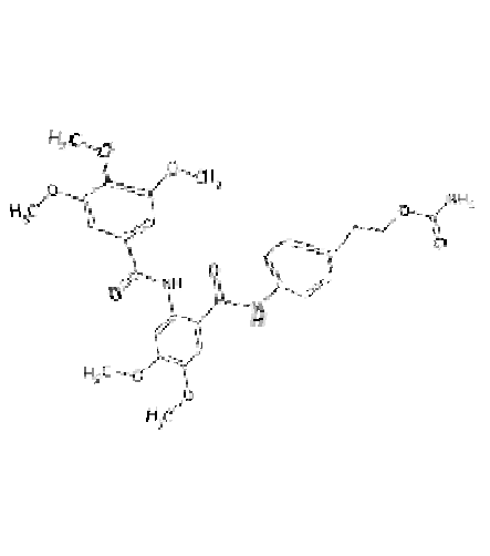 COc1cc(NC(=O)c2cc(OC)c(OC)c(OC)c2)c(C(=O)Nc2ccc(CCOC(N)=O)cc2)cc1OC